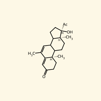 CC(=O)[C@@]1(O)CCC2C3C=C(C)C4=CC(=O)CC[C@]4(C)C3CC[C@@]21C